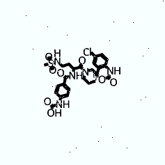 CS(=O)(=O)NCCC(NC(=O)c1ccc(NC(=O)O)cc1)C(=O)N1CCC[C@@]2(C1)OC(=O)Nc1ccc(Cl)cc12